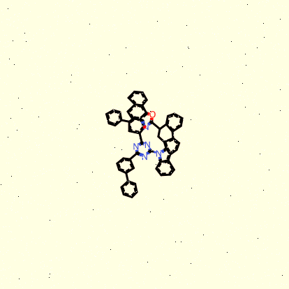 c1ccc(-c2cccc(-c3nc(-c4cccc(-c5ccccc5)c4)nc(-n4c5ccccc5c5ccc6c(c54)CC(c4nc5ccc7ccccc7c5o4)c4ccccc4-6)n3)c2)cc1